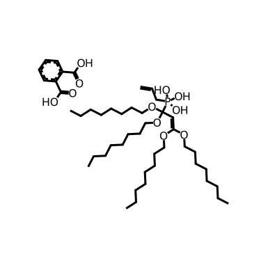 C=CCP(O)(O)(O)C(C=C(OCCCCCCCC)OCCCCCCCC)(OCCCCCCCC)OCCCCCCCC.O=C(O)c1ccccc1C(=O)O